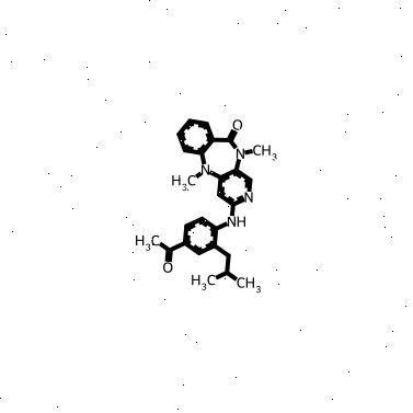 CC(=O)c1ccc(Nc2cc3c(cn2)N(C)C(=O)c2ccccc2N3C)c(CC(C)C)c1